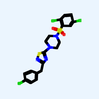 O=S(=O)(c1cc(Cl)ccc1Cl)N1CCN(c2nc(Cc3ccc(Cl)cc3)ns2)CC1